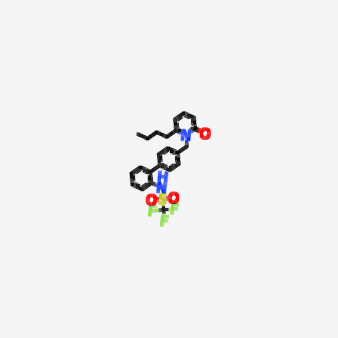 CCCCc1cccc(=O)n1Cc1ccc(-c2ccccc2NS(=O)(=O)C(F)(F)F)cc1